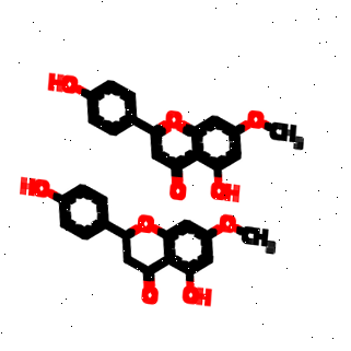 COc1cc(O)c2c(=O)cc(-c3ccc(O)cc3)oc2c1.COc1cc(O)c2c(c1)OC(c1ccc(O)cc1)CC2=O